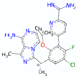 Cc1nc([C@@H](C)c2cc(Cl)c(F)c(-c3ccc(C(=N)N)nc3)c2OC(C)C)n2ccnc(N)c12